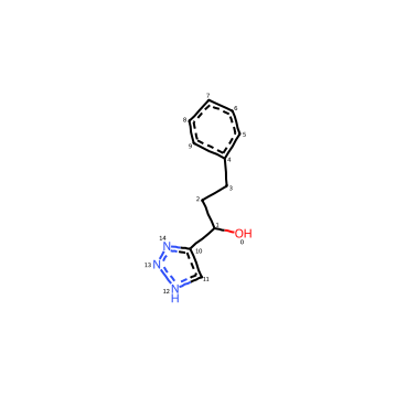 OC(CCc1ccccc1)c1c[nH]nn1